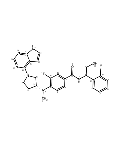 CN(c1ccc(C(=O)NC(CO)c2ccccc2Cl)cc1F)[C@@H]1CCN(c2ncnc3[nH]ccc23)C1